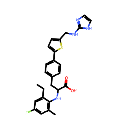 CCc1cc(F)cc(C)c1NC(Cc1ccc(-c2ccc(CNc3ncc[nH]3)s2)cc1)C(=O)O